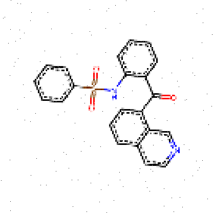 O=C(c1ccccc1NS(=O)(=O)c1ccccc1)c1cccc2ccncc12